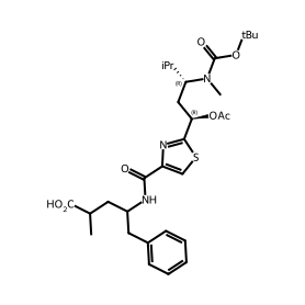 CC(=O)O[C@H](C[C@H](C(C)C)N(C)C(=O)OC(C)(C)C)c1nc(C(=O)NC(Cc2ccccc2)CC(C)C(=O)O)cs1